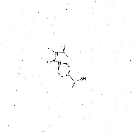 CC(S)C1CCN(C(=O)N(C)C(C)C)CC1